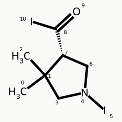 CC1(C)CN(I)C[C@H]1C(=O)I